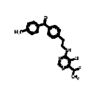 Cc1ccc(C(=O)c2ccc(CCNc3ncnc(C(C)F)c3Cl)cc2)cc1